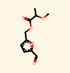 COC(C)C(=O)OCc1ccc(C=O)o1